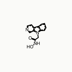 O=C(Cn1c2ccccc2c2ccncc21)NO